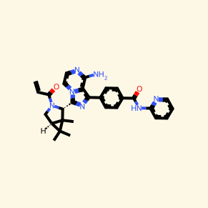 C=CC(=O)N1C[C@@H]2C(C)(C)C2(C)[C@H]1c1nc(-c2ccc(C(=O)Nc3ccccn3)cc2)c2c(N)nccn12